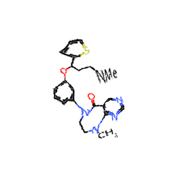 CNCCC(Oc1cccc(N2CCN(C)c3ncncc3C2=O)c1)c1cccs1